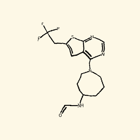 O=CNC1CCCN(c2ncnc3sc(CC(F)(F)F)cc23)CC1